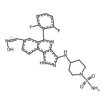 NS(=O)(=O)N1CCC(Nc2n[nH]c3c2nc(-c2c(F)cccc2F)c2cc(/C=N\O)ccc23)CC1